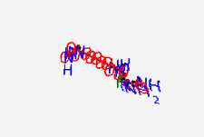 Nc1ncc(-c2ccc(S(=O)(=O)N(CCCNC(=O)CCOCCOCCOCCOCCOCCNc3cccc4c3C(=O)N(C3CCC(=O)NC3)C4=O)C3CC3)cc2F)cc1-c1ccc2c(c1)CCNC2=O